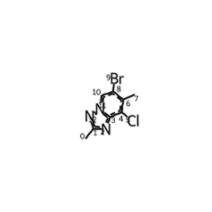 Cc1nc2c(Cl)c(C)c(Br)cn2n1